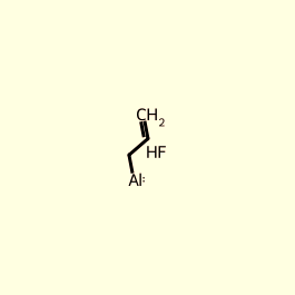 C=C[CH2][Al].F